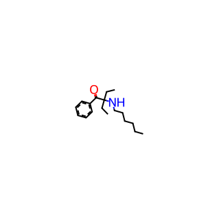 CCCCCCNC(CC)(CC)C(=O)c1ccccc1